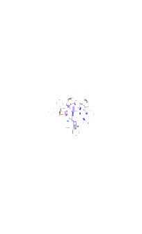 N#Cc1c(C#N)c(-n2c3cc(-c4ccccc4-c4ccccc4)ccc3c3ccc4c5ccccc5sc4c32)c(-n2c3ccccc3c3ccccc32)c(-n2c3ccccc3c3ccccc32)c1-n1c2ccccc2c2ccccc21